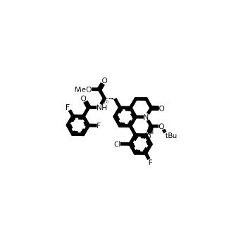 COC(=O)[C@H](Cc1ccc(-c2c(Cl)cc(F)cc2Cl)c2c1CCC(=O)N2C(=O)OC(C)(C)C)NC(=O)c1c(F)cccc1F